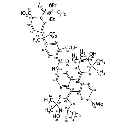 CCC[C@](C)(CC)C(=O)c1cc(C(c2ccc(C(=O)Nc3ccc4c(=C5CC(C)(C)N(O)C(C)(C)C5)c5cc(NC)ccc5c(=C5CC(C)(C)N(O)C(C)(C)C5)c4c3)c(C(=O)O)c2)(C(F)(F)F)C(F)(F)F)ccc1C(=O)O